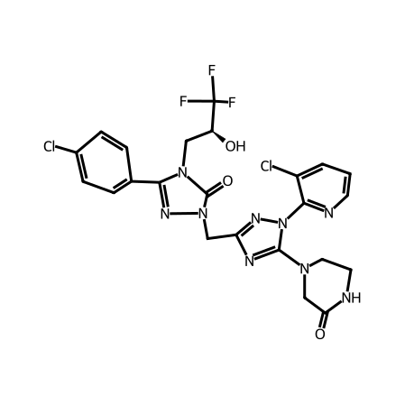 O=C1CN(c2nc(Cn3nc(-c4ccc(Cl)cc4)n(C[C@H](O)C(F)(F)F)c3=O)nn2-c2ncccc2Cl)CCN1